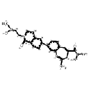 CCCN(CCC)C(=O)C1=Cc2ccc(-c3ccc4c(=O)n(CC[S+](C)[O-])ccc4c3)cc2N=C(N)C1